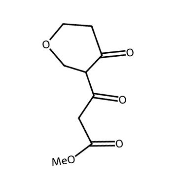 COC(=O)CC(=O)C1COCCC1=O